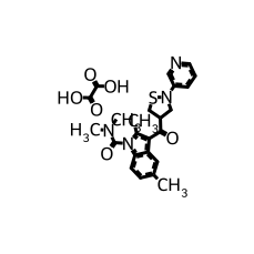 Cc1ccc2c(c1)c(C(=O)C1CSN(c3cccnc3)C1)c(C)n2C(=O)N(C)C.O=C(O)C(=O)O